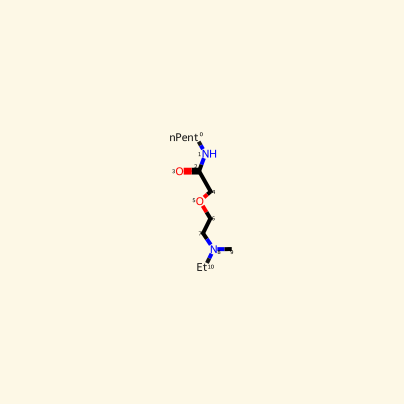 CCCCCNC(=O)COCCN(C)CC